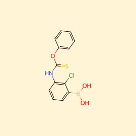 OB(O)c1cccc(NC(=S)Oc2ccccc2)c1Cl